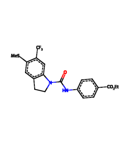 CCOC(=O)c1ccc(NC(=O)N2CCc3cc(SC)c(C(F)(F)F)cc32)cc1